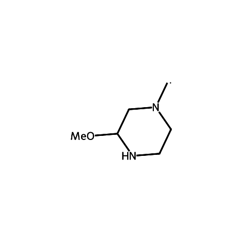 [CH2]N1CCNC(OC)C1